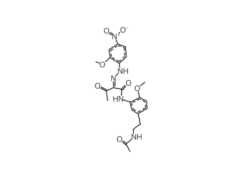 COc1cc([N+](=O)[O-])ccc1NN=C(C(C)=O)C(=O)Nc1cc(CCNC(C)=O)ccc1OC